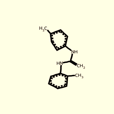 C=C(Nc1ccc(C)cc1)Nc1ccccc1C